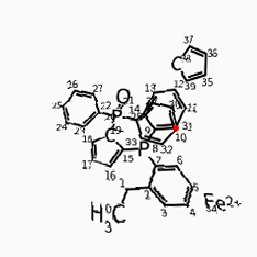 CCc1ccccc1P(c1ccccc1)c1ccc[c-]1P(=O)(c1ccccc1)c1ccccc1.[Fe+2].c1cc[cH-]c1